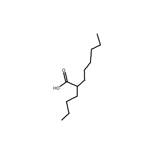 CCCCC[CH]C(CCCC)C(=O)O